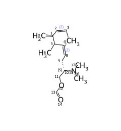 C=C(/C=C\C)C(C)/C=C\C[C@@H](COC=O)N(C)C